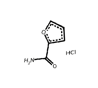 Cl.NC(=O)c1ccco1